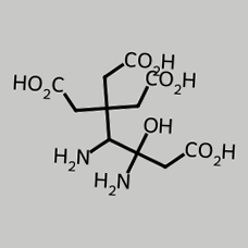 NC(C(N)(O)CC(=O)O)C(CC(=O)O)(CC(=O)O)CC(=O)O